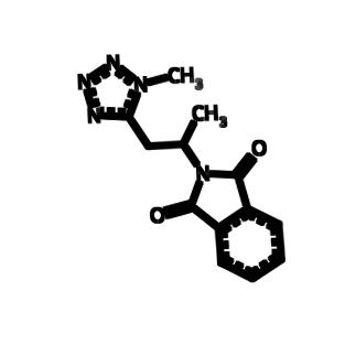 CC(Cc1nnnn1C)N1C(=O)c2ccccc2C1=O